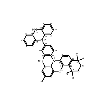 Cc1cc2c3c(c1)Oc1c(ccc4c1C(C)(C)CCC4(C)C)[SH]3c1ccc(N3c4ccccc4Nc4ccccc43)cc1O2